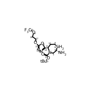 CC(C)(C)OC(=O)N1C[C@@H](N)[SiH2]CC[C@@H]1c1nnc(OCCOC(F)(F)F)o1